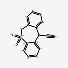 N#CC1c2ccccc2CS(=O)(=O)c2ccccc21